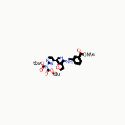 COC(=O)c1cccc(CNc2ncc(-c3ccnc(N(C(=O)OC(C)(C)C)C(=O)OC(C)(C)C)n3)c3c2CCO3)c1